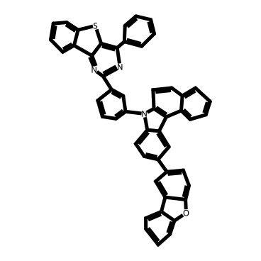 c1ccc(-c2nc(-c3cccc(-n4c5ccc(-c6ccc7oc8ccccc8c7c6)cc5c5c6ccccc6ccc54)c3)nc3c2sc2ccccc23)cc1